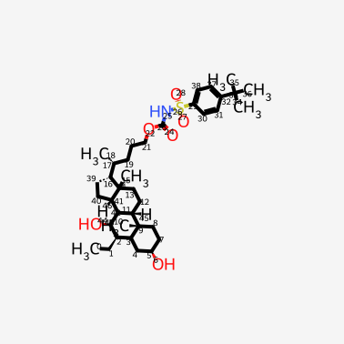 CC[C@@H]1C2C[C@H](O)CC[C@@]2(C)[C@H]2CCC3(C)[C@@H]([C@H](C)CCCOC(=O)NS(=O)(=O)c4ccc(C(C)(C)C)cc4)CC[C@H]3C2[C@@H]1O